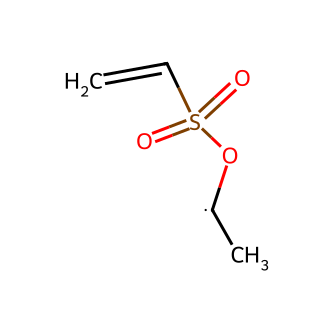 C=CS(=O)(=O)O[CH]C